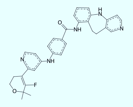 CC1(C)OCCC(c2cc(Nc3ccc(C(=O)Nc4cccc5c4CCc4cnccc4N5)cc3)ccn2)=C1F